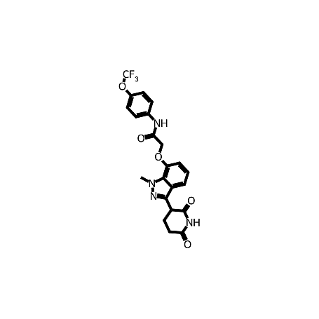 Cn1nc(C2CCC(=O)NC2=O)c2cccc(OCC(=O)Nc3ccc(OC(F)(F)F)cc3)c21